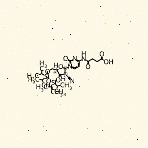 CC(C)[Si]1(C(C)C)OC[C@H]2O[C@@H](n3ccc(NC(=O)CCC(=O)O)nc3=O)[C@@H](C#N)[C@@H]2O[Si](C(C)C)(C(C)C)O1